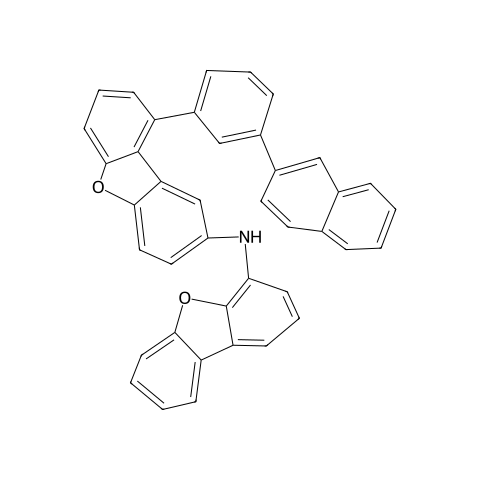 c1cc(-c2ccc3ccccc3c2)cc(-c2cccc3oc4ccc(Nc5cccc6c5oc5ccccc56)cc4c23)c1